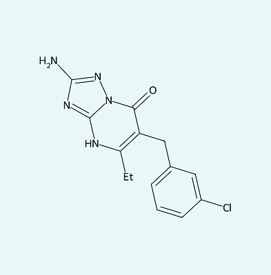 CCc1[nH]c2nc(N)nn2c(=O)c1Cc1cccc(Cl)c1